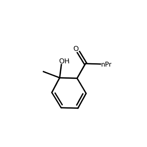 CCCC(=O)C1C=CC=CC1(C)O